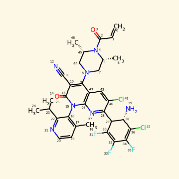 C=CC(=O)N1[C@H](C)CN(c2c(C#N)c(=O)n(-c3c(C)ccnc3C(C)C)c3nc(C4C(F)=C(F)C(F)=C(Cl)[C@H]4N)c(Cl)cc23)C[C@@H]1C